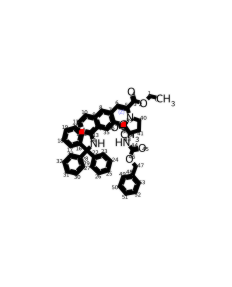 CCOC(=O)/C(=C/c1cc2ccnc(NC(c3ccccc3)(c3ccccc3)c3ccccc3)c2cc1OC)N1CC[C@H](NC(=O)OCc2ccccc2)C1=O